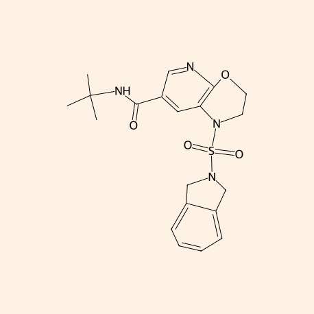 CC(C)(C)NC(=O)c1cnc2c(c1)N(S(=O)(=O)N1Cc3ccccc3C1)CCO2